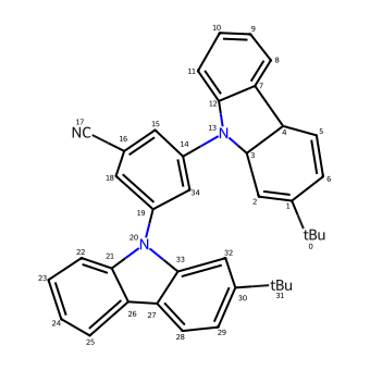 CC(C)(C)C1=CC2C(C=C1)c1ccccc1N2c1cc(C#N)cc(-n2c3ccccc3c3ccc(C(C)(C)C)cc32)c1